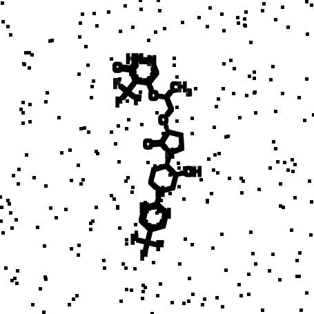 CC(CO[C@@H]1CCN([C@@H]2CCN(c3ncc(C(F)(F)F)cn3)C[C@@H]2O)C1=O)Oc1cn[nH]c(=O)c1C(F)(F)F